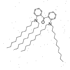 CCCCCCCCCCCN(CCCCCCCCCCC)c1ccccc1C(=O)c1ccccc1N(CCCCCCCCCCC)CCCCCCCCCCC